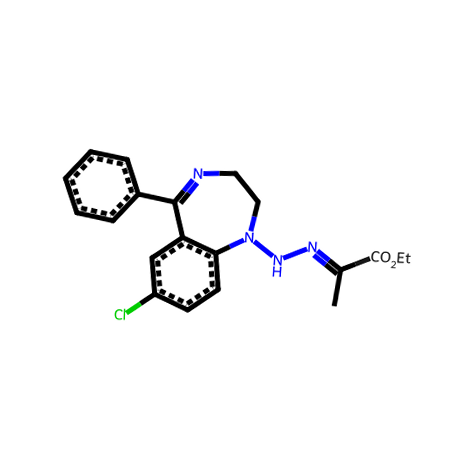 CCOC(=O)C(C)=NNN1CCN=C(c2ccccc2)c2cc(Cl)ccc21